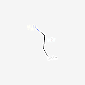 Br.CSCCN